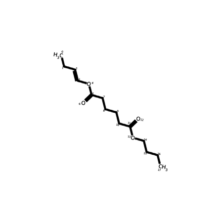 CC/C=C/OC(=O)CCCCC(=O)OCCCC